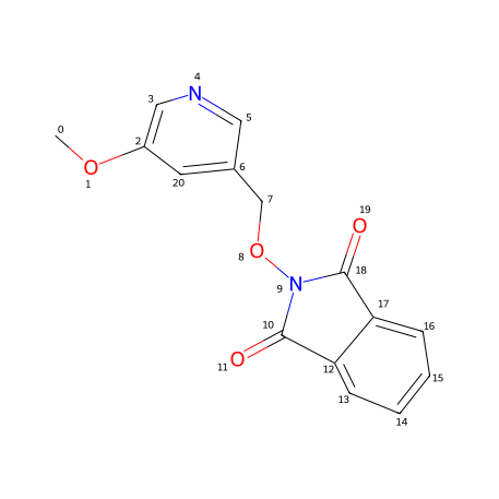 COc1cncc(CON2C(=O)c3ccccc3C2=O)c1